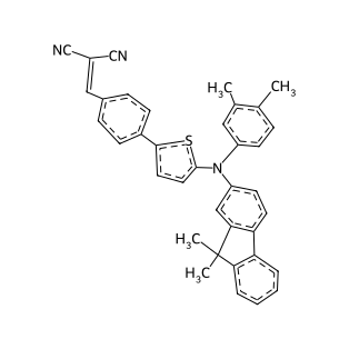 Cc1ccc(N(c2ccc3c(c2)C(C)(C)c2ccccc2-3)c2ccc(-c3ccc(C=C(C#N)C#N)cc3)s2)cc1C